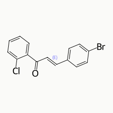 O=C(/C=C/c1ccc(Br)cc1)c1ccccc1Cl